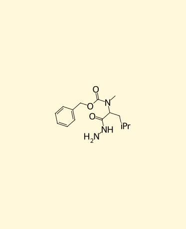 CC(C)CC(C(=O)NN)N(C)C(=O)OCc1ccccc1